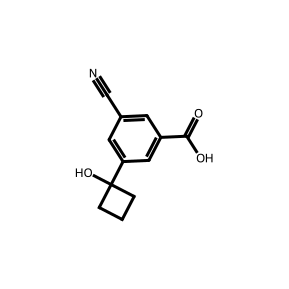 N#Cc1cc(C(=O)O)cc(C2(O)CCC2)c1